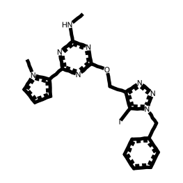 CNc1nc(OCc2nnn(Cc3ccccc3)c2I)nc(-c2cccn2C)n1